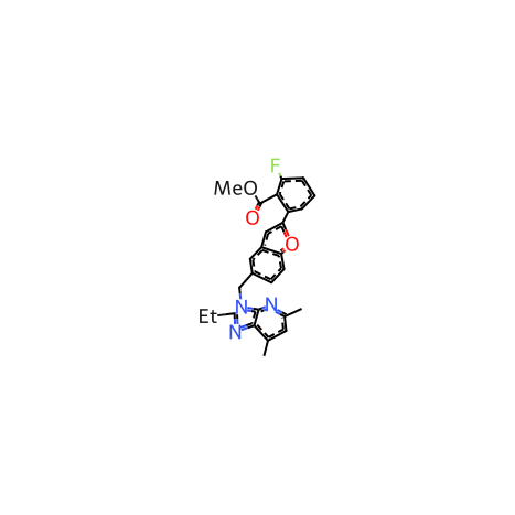 CCc1nc2c(C)cc(C)nc2n1Cc1ccc2oc(-c3cccc(F)c3C(=O)OC)cc2c1